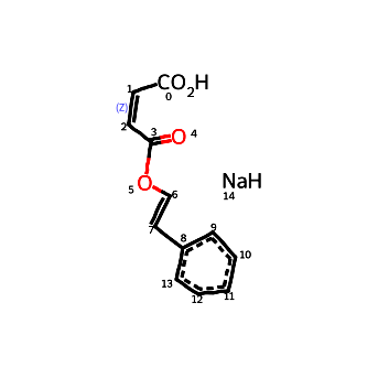 O=C(O)/C=C\C(=O)OC=Cc1ccccc1.[NaH]